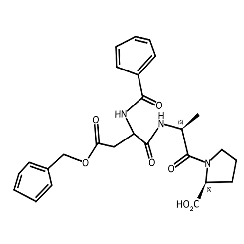 C[C@H](NC(=O)C(CC(=O)OCc1ccccc1)NC(=O)c1ccccc1)C(=O)N1CCC[C@H]1C(=O)O